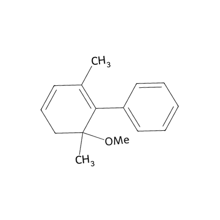 COC1(C)CC=CC(C)=C1c1ccccc1